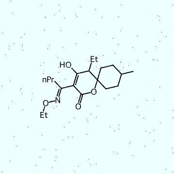 CCC/C(=N\OCC)C1=C(O)C(CC)C2(CCC(C)CC2)OC1=O